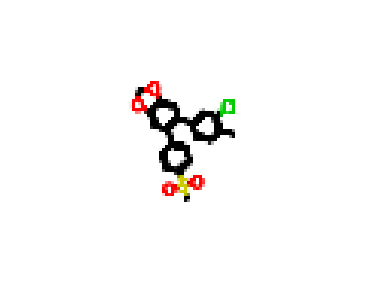 Cc1ccc(-c2cc3c(cc2-c2ccc(S(C)(=O)=O)cc2)OCO3)cc1Cl